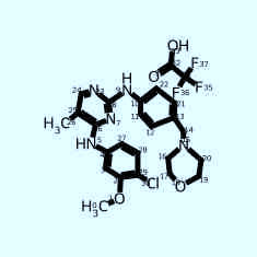 COc1cc(Nc2nc(Nc3ccc(CN4CCOCC4)cc3)ncc2C)ccc1Cl.O=C(O)C(F)(F)F